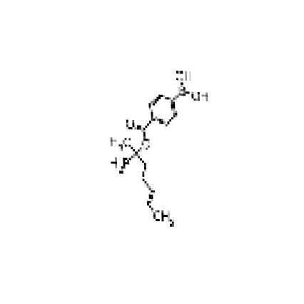 C/C=C/CCC(C)(P)OC(=O)c1ccc(B(O)O)cc1